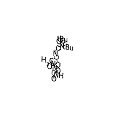 Cn1c(=O)n(C2CCC(=O)NC2=O)c2cccc(C3CCN(Cc4ccc(N(C(=O)OC(C)(C)C)C(C)(C)C)cc4)CC3)c21